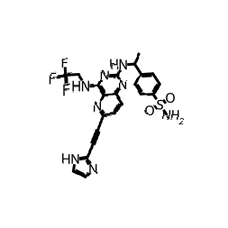 CC(Nc1nc(NCC(F)(F)F)c2nc(C#Cc3ncc[nH]3)ccc2n1)c1ccc(S(N)(=O)=O)cc1